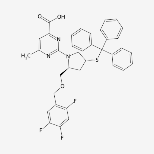 Cc1cc(C(=O)O)nc(N2C[C@H](SC(c3ccccc3)(c3ccccc3)c3ccccc3)C[C@H]2COCc2cc(F)c(F)cc2F)n1